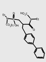 [CH2]COC(=O)N(CC)P(=O)(O)CC(Cc1ccc(-c2ccccc2)cc1)C(=O)N(CC)C(=O)O